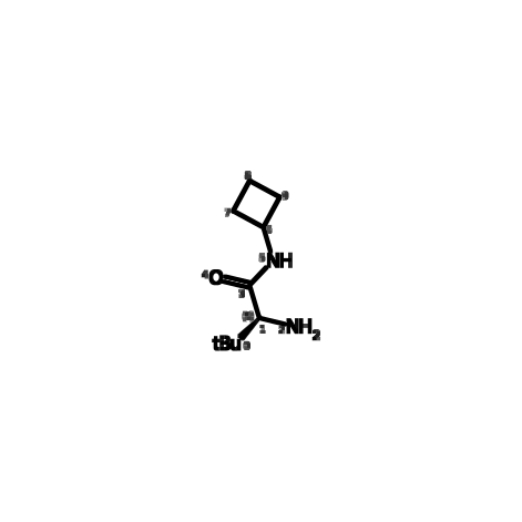 CC(C)(C)[C@H](N)C(=O)NC1CCC1